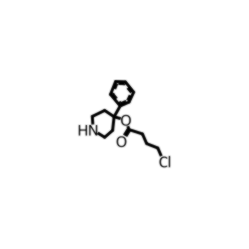 O=C(CCCCl)OC1(c2ccccc2)CCNCC1